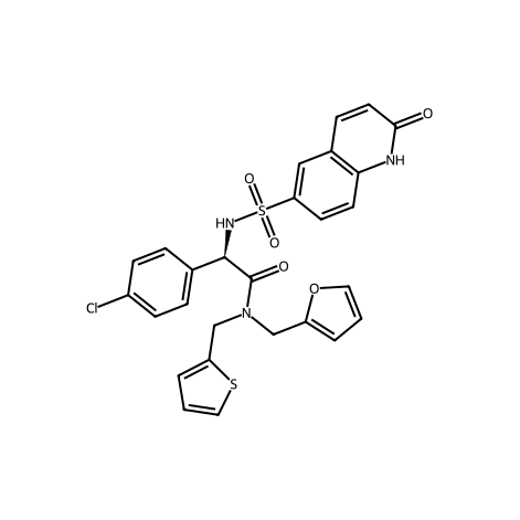 O=C([C@H](NS(=O)(=O)c1ccc2[nH]c(=O)ccc2c1)c1ccc(Cl)cc1)N(Cc1ccco1)Cc1cccs1